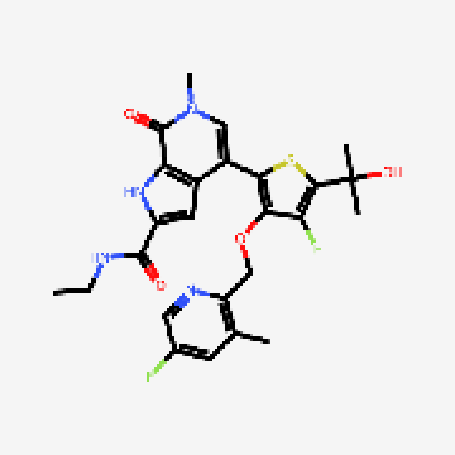 CCNC(=O)c1cc2c(-c3sc(C(C)(C)O)c(F)c3OCc3ncc(F)cc3C)cn(C)c(=O)c2[nH]1